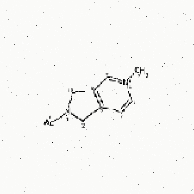 CC(=O)N1Cc2cc[n+](C)cc2C1